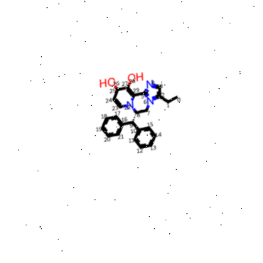 CCc1cnc2n1C[C@H](C(c1ccccc1)c1ccccc1)N1C=CC(O)C(O)=C21